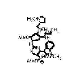 C=CC(=O)Nc1cc(Nc2ncc(P(=O)(OC)OC)c(-c3cn(C)c4ccccc34)n2)c(OC)cc1N(C)CC1CCCN1C